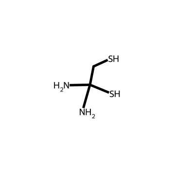 NC(N)(S)CS